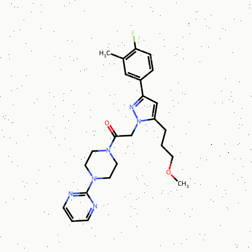 COCCCc1cc(-c2ccc(F)c(C)c2)nn1CC(=O)N1CCN(c2ncccn2)CC1